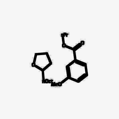 CCCCCCCCC1CCCO1.CCCOC(=O)c1cccc(OC)c1